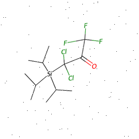 CC(C)[Si](C(C)C)(C(C)C)C(Cl)(Cl)C(=O)C(F)(F)F